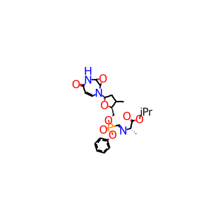 CC(C)OC(=O)[C@H](C)/N=C/P(=O)(OC[C@H]1O[C@@H](N2C=CC(=O)NC3OC32)CC1C)Oc1ccccc1